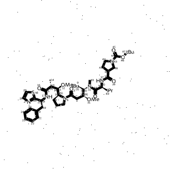 CC[C@H](C)[C@@H]([C@@H](CC(=O)N1CCC[C@H]1[C@H](OC)[C@@H](C)C(=O)N[C@@H](Cc1ccccc1)c1nccs1)OC)N(C)C(=O)[C@@H](NC(=O)C1CCN(C(=O)OC(C)(C)C)C1)C(C)C